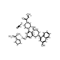 C=CC(=O)N1CCN(c2nc(OC[C@@H]3CCCN3C(C)C)nc3c2N(C)CCN(c2cc(O)cc4ccccc24)C3)C[C@@H]1CC#N